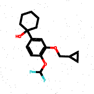 OC1(c2ccc(OC(F)F)c(OCC3CC3)c2)CCCCC1